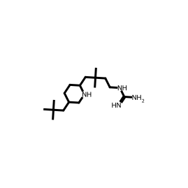 CC(C)(C)CC1CCC(CC(C)(C)CCNC(=N)N)NC1